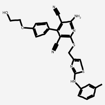 Cc1cccc(Nc2nc(CSc3nc(N)c(C#N)c(-c4ccc(OCCO)cc4)c3C#N)cs2)c1